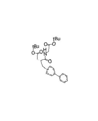 CC(C)(C)OC(=O)CNC(=O)[C@@H](CC(=O)OC(C)(C)C)Cc1ccc(-c2ccccc2)cc1